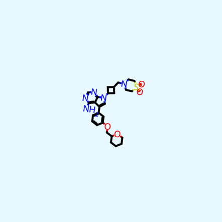 Nc1ncnc2c1c(-c1cccc(OCC3CCCCO3)c1)cn2C1CC(CN2CCS(=O)(=O)CC2)C1